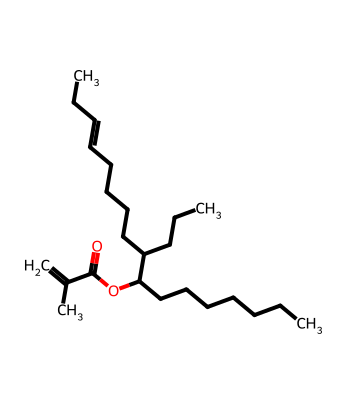 C=C(C)C(=O)OC(CCCCCCC)C(CCC)CCCCC=CCC